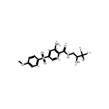 COc1ccc(S(=O)(=O)c2cnc(C(=O)NCC(O)C(F)(F)F)c(N)c2)cc1